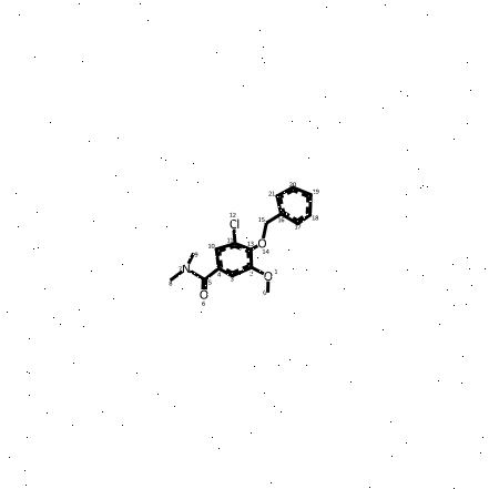 COc1cc(C(=O)N(C)C)cc(Cl)c1OCc1ccccc1